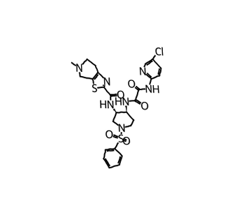 CN1CCc2nc(C(=O)N[C@@H]3CN(S(=O)(=O)c4ccccc4)CC[C@@H]3NC(=O)C(=O)Nc3ccc(Cl)cn3)sc2C1